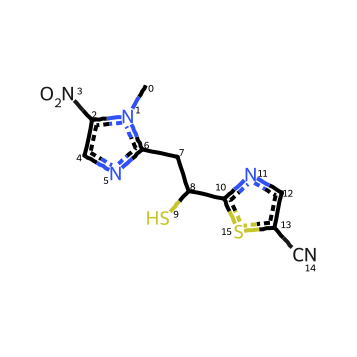 Cn1c([N+](=O)[O-])cnc1CC(S)c1ncc(C#N)s1